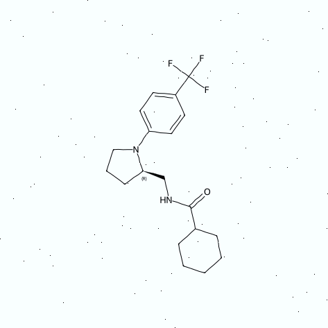 O=C(NC[C@H]1CCCN1c1ccc(C(F)(F)F)cc1)C1CCCCC1